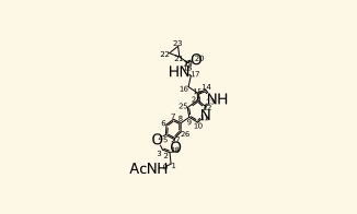 CC(=O)NCC1=COc2ccc(-c3cnc4[nH]cc(CCNC(=O)C5CC5)c4c3)cc2O1